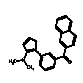 CN(C)C1=C(c2cccc(C(=O)c3ccc4ccccc4c3)c2)CC=C1